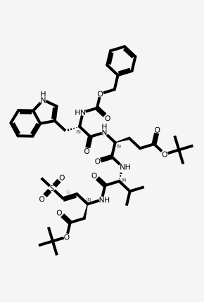 CC(C)[C@@H](NC(=O)[C@H](CCC(=O)OC(C)(C)C)NC(=O)[C@H](Cc1c[nH]c2ccccc12)NC(=O)OCc1ccccc1)C(=O)N[C@H](/C=C/S(C)(=O)=O)CC(=O)OC(C)(C)C